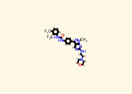 Cn1nc(-c2ccc(NC(=O)Nc3cccc(C(F)(F)F)c3C(F)(F)F)cc2)c2cnc(NCCN3CCOCC3)nc21